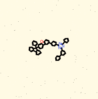 c1ccc(-c2cccc(-c3nc(-c4ccccc4)nc(-c4ccc(-c5ccc6oc7cc(C8(c9ccccc9)c9ccccc9-c9ccccc98)ccc7c6c5)cc4)n3)c2)cc1